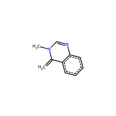 C=C1c2ccccc2N=CN1C